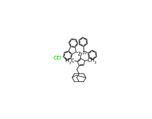 CC1=[C]([Zr+2](=[C](c2ccccc2)c2ccccc2)[CH]2c3ccccc3-c3ccccc32)C(C)C=C1CC12CC3CC(CC(C3)C1)C2.[Cl-].[Cl-]